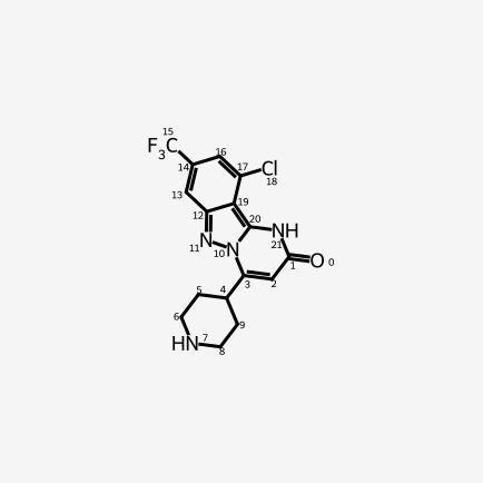 O=c1cc(C2CCNCC2)n2nc3cc(C(F)(F)F)cc(Cl)c3c2[nH]1